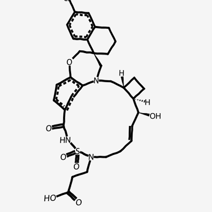 O=C(O)CCN1CC/C=C/[C@H](O)[C@@H]2CC[C@H]2CN2C[C@@]3(CCCc4cc(Cl)ccc43)COc3ccc(cc32)C(=O)NS1(=O)=O